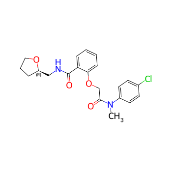 CN(C(=O)COc1ccccc1C(=O)NC[C@H]1CCCO1)c1ccc(Cl)cc1